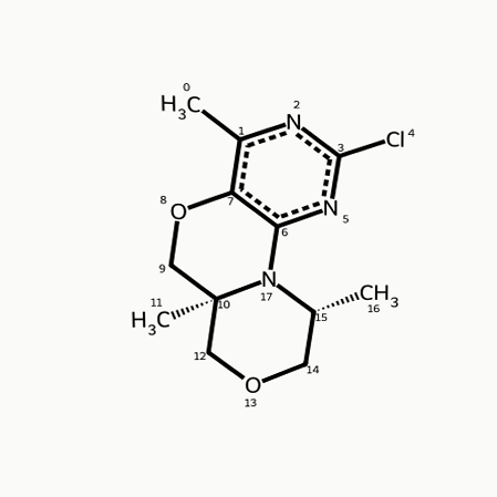 Cc1nc(Cl)nc2c1OC[C@]1(C)COC[C@@H](C)N21